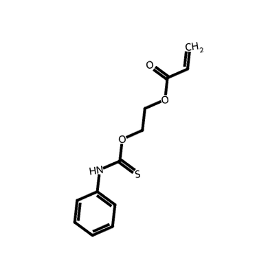 C=CC(=O)OCCOC(=S)Nc1ccccc1